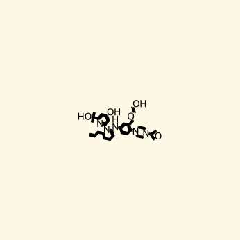 C=CCC1CCC=C(Nc2ccc(N3CCN(C4COC4)CC3)c(COCCO)c2)N1c1cc(O)cc(C(C)(C)O)n1